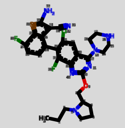 CCCN1CCCC1COc1nc(N2CCNCC2)c2cc(Cl)c(-c3ccc(F)c4sc(N)c(C#N)c34)c(F)c2n1